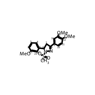 COc1cccc(C2CC(c3ccc(OC)c(OC)c3)=NN2S(C)(=O)=O)c1